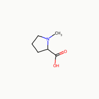 CN1CCCC1C(=O)O